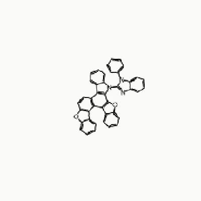 c1ccc(-n2c(-n3c4ccccc4c4c5ccc6oc7ccccc7c6c5c5c6ccccc6oc5c43)nc3ccccc32)cc1